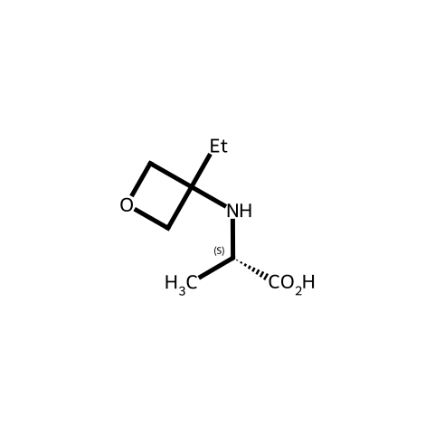 CCC1(N[C@@H](C)C(=O)O)COC1